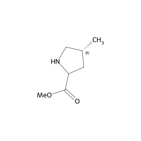 COC(=O)C1C[C@@H](C)CN1